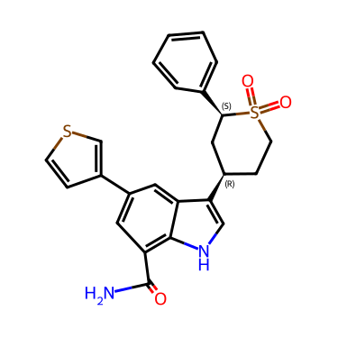 NC(=O)c1cc(-c2ccsc2)cc2c([C@@H]3CCS(=O)(=O)[C@H](c4ccccc4)C3)c[nH]c12